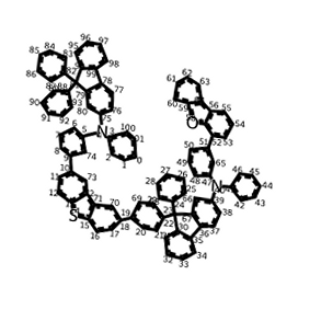 c1ccc(N(c2cccc(-c3ccc4sc5ccc(-c6ccc(C7(c8ccccc8)c8ccccc8-c8ccc(N(c9ccccc9)c9cccc(-c%10cccc%11c%10oc%10ccccc%10%11)c9)cc87)cc6)cc5c4c3)c2)c2ccc3c(c2)C(c2ccccc2)(c2ccccc2)c2ccccc2-3)cc1